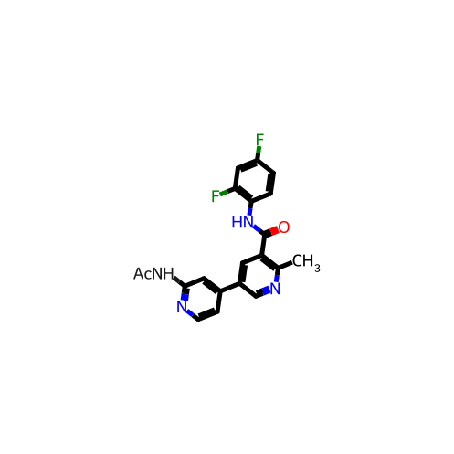 CC(=O)Nc1cc(-c2cnc(C)c(C(=O)Nc3ccc(F)cc3F)c2)ccn1